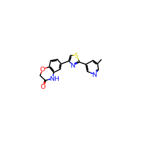 Cc1cncc(-c2nc(-c3ccc4c(c3)NC(=O)CO4)cs2)c1